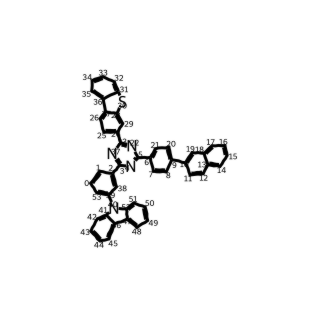 c1cc(-c2nc(-c3ccc(-c4ccc5ccccc5c4)cc3)nc(-c3ccc4c(c3)sc3ccccc34)n2)cc(-n2c3ccccc3c3ccccc32)c1